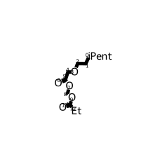 CCCC(C)CCOCC(=O)OCOC(=O)CC